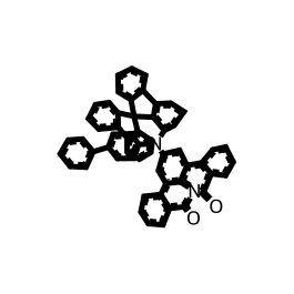 O=c1c2ccccc2c2cc(N(c3ccc(-c4ccccc4)cc3)c3cccc4c3C3(c5ccccc5-c5ccccc53)c3ccccc3-4)cc3c4ccccc4c(=O)n1c23